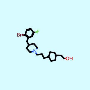 OCCC1CCC(CCCN2CCC(Cc3cc(F)ccc3Br)CC2)CC1